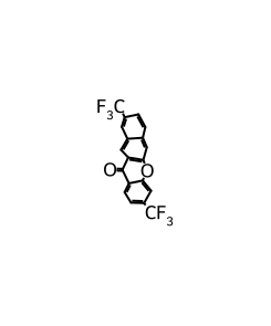 O=c1c2ccc(C(F)(F)F)cc2oc2cc3ccc(C(F)(F)F)cc3cc12